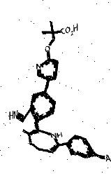 CC(=O)c1ccc(C2=CCCC(C)=C(c3ccc(-c4ccc(OCC(C)(C)C(=O)O)nc4)cc3C=N)N2)cc1